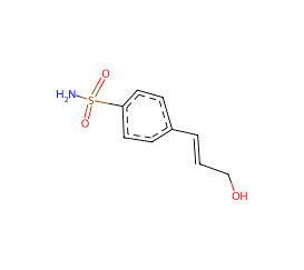 NS(=O)(=O)c1ccc(C=CCO)cc1